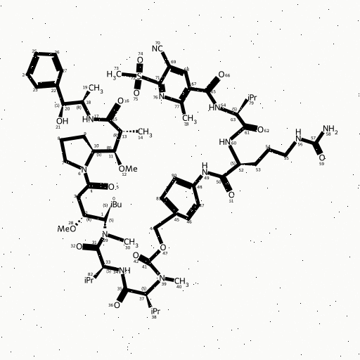 CC[C@H](C)[C@@H]([C@@H](CC(=O)N1CCC[C@H]1[C@H](OC)[C@@H](C)C(=O)N[C@H](C)[C@@H](O)c1ccccc1)OC)N(C)C(=O)[C@@H](NC(=O)[C@H](C(C)C)N(C)C(=O)OCc1ccc(NC(=O)[C@H](CCCNC(N)=O)NC(=O)[C@@H](NC(=O)c2cc(C#N)c(S(C)(=O)=O)nc2C)C(C)C)cc1)C(C)C